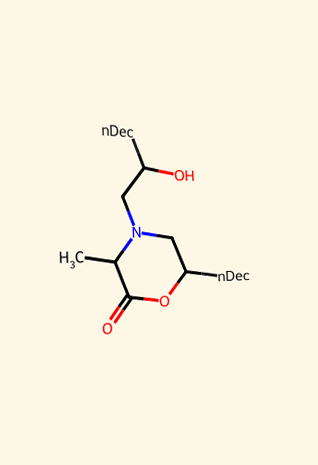 CCCCCCCCCCC(O)CN1CC(CCCCCCCCCC)OC(=O)C1C